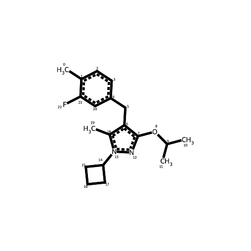 Cc1ccc(Cc2c(OC(C)C)nn(C3CCC3)c2C)cc1F